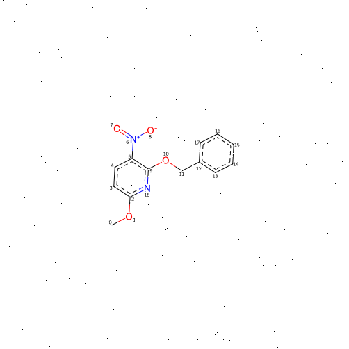 COc1ccc([N+](=O)[O-])c(OCc2ccccc2)n1